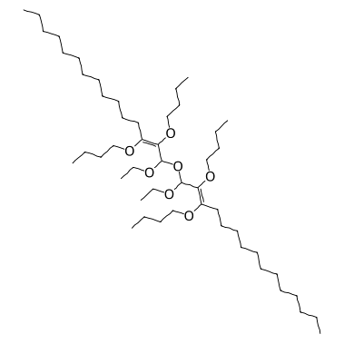 CCCCCCCCCCCCC(OCCCC)=C(OCCCC)C(OCC)OC(OCC)C(OCCCC)=C(CCCCCCCCCCCC)OCCCC